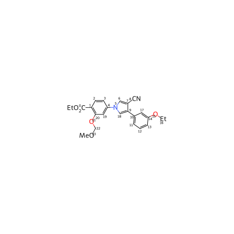 CCOC(=O)c1ccc(-n2cc(C#N)c(-c3cccc(OCC)c3)c2)cc1OCOC